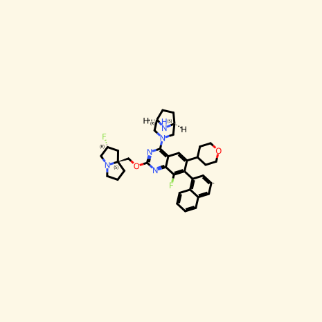 Fc1c(-c2c[c]cc3ccccc23)c(C2CCOCC2)cc2c(N3C[C@H]4CC[C@@H](C3)N4)nc(OC[C@@]34CCCN3C[C@H](F)C4)nc12